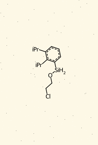 CC(C)c1cccc([SiH2]OCCCl)c1C(C)C